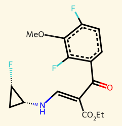 CCOC(=O)C(=CN[C@@H]1C[C@@H]1F)C(=O)c1ccc(F)c(OC)c1F